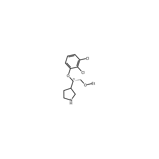 CCOC[C@@H](Oc1cccc(Cl)c1Cl)C1CCNC1